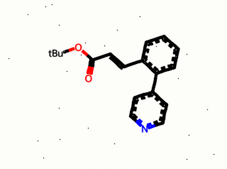 CC(C)(C)OC(=O)/C=C/c1ccccc1-c1ccncc1